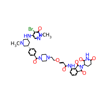 CN1C[C@H](Nc2cnn(C)c(=O)c2Br)C[C@H](c2ccc(C(=O)N3CCN(CCOC=CC(=O)Nc4cccc5c4C(=O)N(C4CCC(=O)NC4=O)C5=O)CC3)cc2)C1